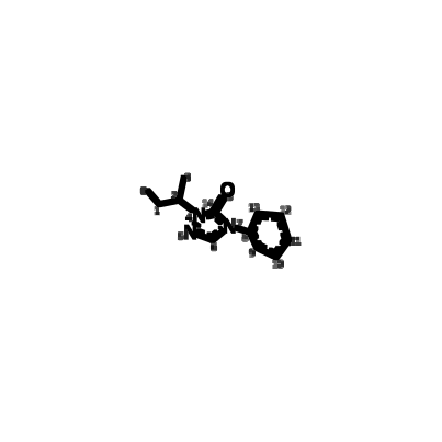 CCC(C)n1ncn(-c2cc[c]cc2)c1=O